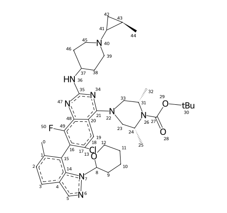 Cc1ccc2cnn(C3CCCCO3)c2c1-c1c(Cl)cc2c(N3C[C@@H](C)N(C(=O)OC(C)(C)C)[C@@H](C)C3)nc(NC3CCN(C4C[C@H]4C)CC3)nc2c1F